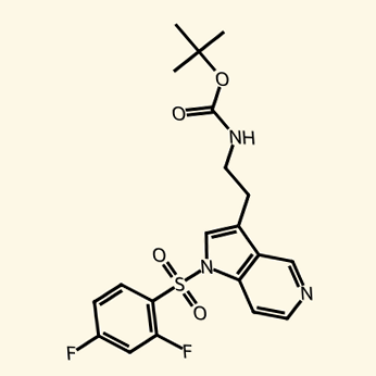 CC(C)(C)OC(=O)NCCc1cn(S(=O)(=O)c2ccc(F)cc2F)c2ccncc12